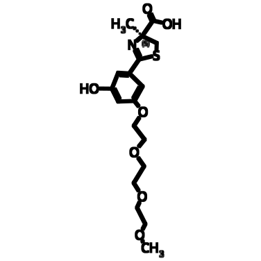 COCCOCCOCCOc1cc(O)cc(C2=N[C@@](C)(C(=O)O)CS2)c1